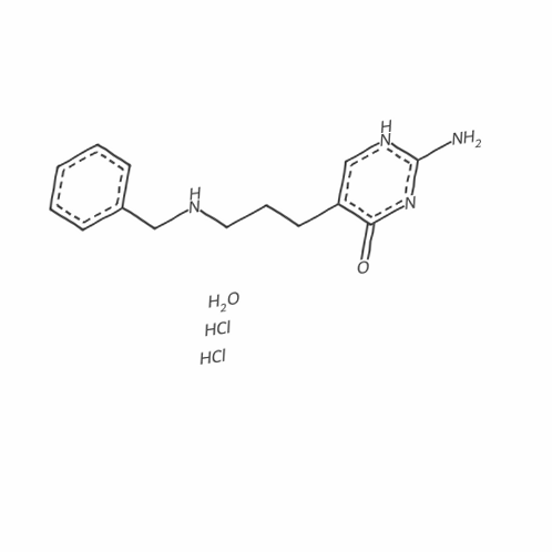 Cl.Cl.Nc1nc(=O)c(CCCNCc2ccccc2)c[nH]1.O